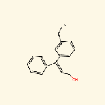 N#CCc1cccc(/C(=C\CO)c2ccccc2)c1